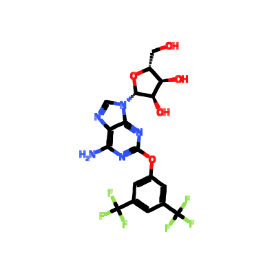 Nc1nc(Oc2cc(C(F)(F)F)cc(C(F)(F)F)c2)nc2c1ncn2[C@@H]1O[C@H](CO)[C@@H](O)[C@H]1O